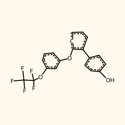 Oc1ccc(-c2ccccc2Oc2cccc(OC(F)(F)C(F)(F)F)c2)cc1